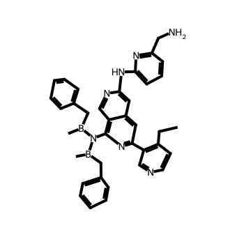 CCc1ccncc1-c1cc2cc(Nc3cccc(CN)n3)ncc2c(N(B(C)Cc2ccccc2)B(C)Cc2ccccc2)n1